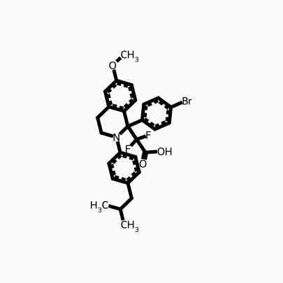 COc1ccc2c(c1)CCN(c1ccc(CC(C)C)cc1)C2(c1ccc(Br)cc1)C(F)(F)C(=O)O